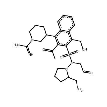 CC(=O)c1c(S(=O)(=O)N(CC=O)N2CCCC2CN)c(CO)c2ccccc2c1C1CCCN(C(=N)N)C1